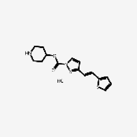 Cl.O=C(OC1CCNCC1)n1ccc(/C=C/c2cccs2)n1